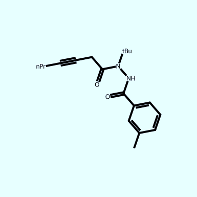 CCCC#CCC(=O)N(NC(=O)c1cccc(C)c1)C(C)(C)C